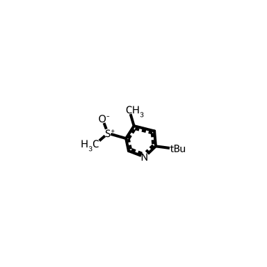 Cc1cc(C(C)(C)C)ncc1[S+](C)[O-]